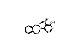 O=[N+]([O-])c1c(O)ncnc1N1CCc2ccccc2CC1